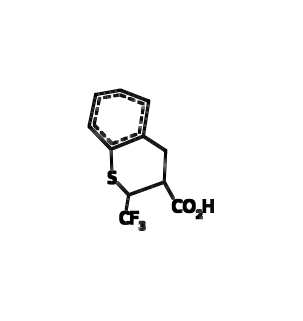 O=C(O)C1Cc2ccccc2SC1C(F)(F)F